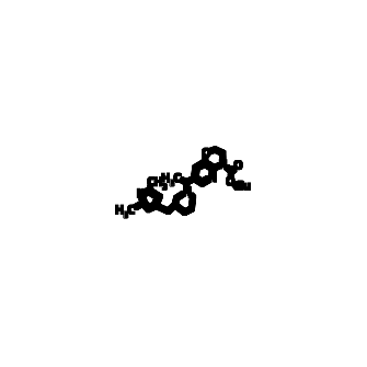 Cc1cc(CC2CCCN(C(C)c3cnc4c(c3)OCCN4C(=O)OC(C)(C)C)C2)cc(C)n1